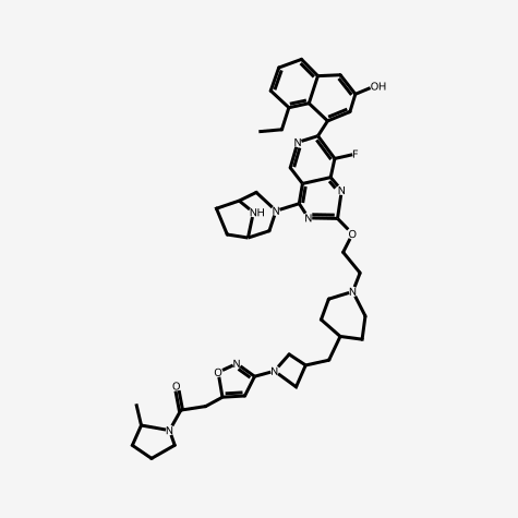 CCc1cccc2cc(O)cc(-c3ncc4c(N5CC6CCC(C5)N6)nc(OCCN5CCC(CC6CN(c7cc(CC(=O)N8CCCC8C)on7)C6)CC5)nc4c3F)c12